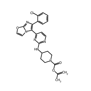 C=C(C)OC(=O)N1CCC(Nc2nccc(-c3c(-c4ccccc4Cl)nc4occn34)n2)CC1